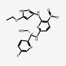 CCOc1cc(Nc2nc(N[C@@H](CO)c3ccc(F)cn3)ccc2[N+](=O)[O-])n[nH]1